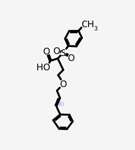 Cc1ccc(S(=O)(=O)C(CCOC/C=C/c2ccccc2)C(=O)O)cc1